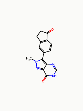 Cn1nc2c(=O)[nH]cnc2c1-c1ccc2c(c1)CCC2=O